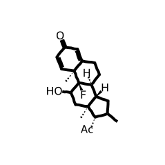 CC(=O)[C@H]1C(C)C[C@H]2[C@@H]3CCC4=CC(=O)C=C[C@]4(C)[C@@]3(F)C(O)C[C@]12C